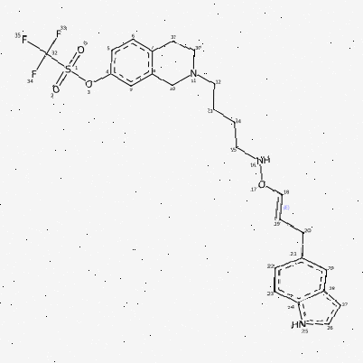 O=S(=O)(Oc1ccc2c(c1)CN(CCCCNO/C=C/Cc1ccc3[nH]ccc3c1)CC2)C(F)(F)F